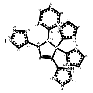 [C]1=C(c2nnn[nH]2)S(c2ncco2)(c2nccs2)N(c2ncncn2)N1c1c[nH]nn1